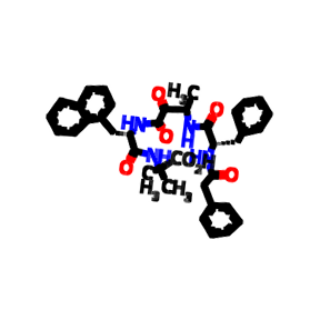 CC(NC(=O)[C@H](Cc1ccccc1)NC(=O)Cc1ccccc1)C(=O)C(=O)N[C@@H](Cc1cccc2ccccc12)C(=O)NC(C)(C)C(=O)O